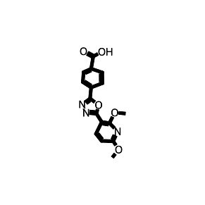 COc1ccc(-c2nnc(-c3ccc(C(=O)O)cc3)o2)c(OC)n1